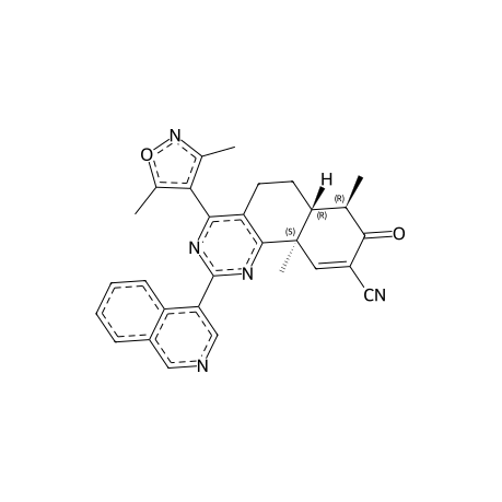 Cc1noc(C)c1-c1nc(-c2cncc3ccccc23)nc2c1CC[C@@H]1[C@@H](C)C(=O)C(C#N)=C[C@@]21C